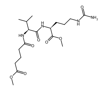 COC(=O)CCCC(=O)N[C@H](C(=O)N[C@@H](CCCNC(N)=O)C(=O)OC)C(C)C